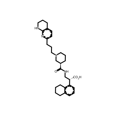 O=C(NC[C@H](C(=O)O)c1cccc2c1CCCC2)[C@@H]1CCCN(CCCc2ccc3c(n2)NCCC3)C1